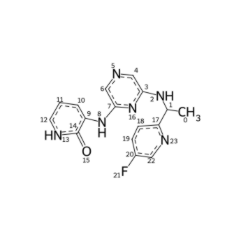 CC(Nc1cncc(Nc2ccc[nH]c2=O)n1)c1ccc(F)cn1